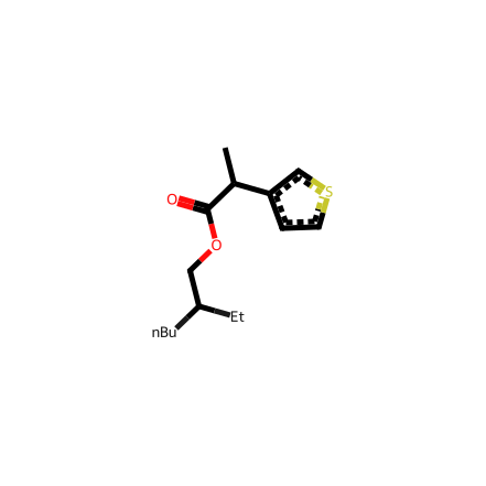 CCCCC(CC)COC(=O)C(C)c1ccsc1